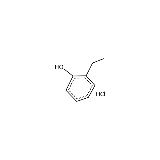 CCc1ccccc1O.Cl